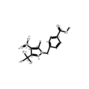 COC(=O)c1ccc(Cn2nc(C(F)(F)F)c([N+](=O)[O-])c2C)cc1